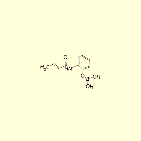 CC=CC(=O)Nc1ccccc1OB(O)O